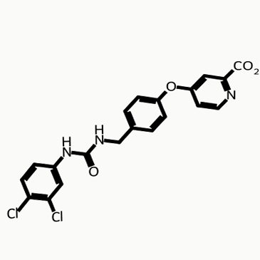 O=C(NCc1ccc(Oc2ccnc(C(=O)O)c2)cc1)Nc1ccc(Cl)c(Cl)c1